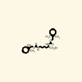 CCOC(=O)[C@H](CCCCNC(=O)OCC1[C@]2(C)CCC#CCC[C@]12C)NC(=O)OCC1[C@]2(C)CCC#CCC[C@]12C